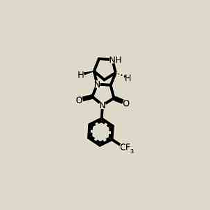 O=C1C2[C@H]3C[C@@H](CN3)N2C(=O)N1c1cccc(C(F)(F)F)c1